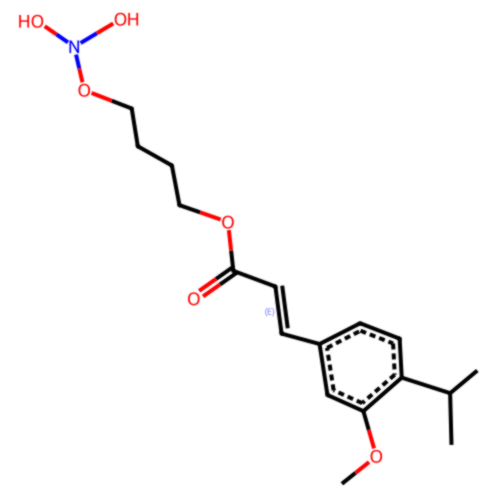 COc1cc(/C=C/C(=O)OCCCCON(O)O)ccc1C(C)C